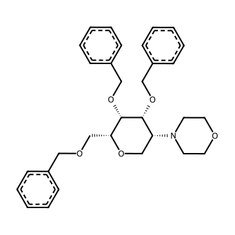 c1ccc(COC[C@H]2OC[C@@H](N3CCOCC3)[C@@H](OCc3ccccc3)[C@H]2OCc2ccccc2)cc1